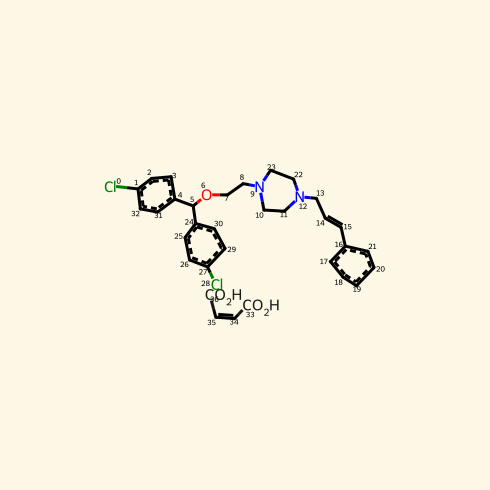 Clc1ccc(C(OCCN2CCN(CC=Cc3ccccc3)CC2)c2ccc(Cl)cc2)cc1.O=C(O)/C=C\C(=O)O